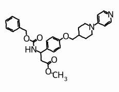 COC(=O)CC(NC(=O)OCc1ccccc1)c1ccc(OCC2CCN(c3ccncc3)CC2)cc1